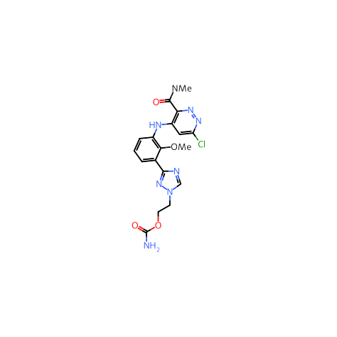 CNC(=O)c1nnc(Cl)cc1Nc1cccc(-c2ncn(CCOC(N)=O)n2)c1OC